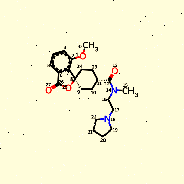 COc1cccc2c1[C@]1(CC[C@@H](C(=O)N(C)CCN3CCCC3)CC1)OC2=O